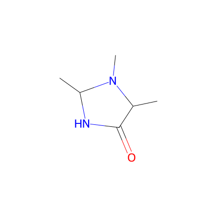 CC1NC(=O)C(C)N1C